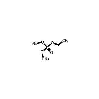 CCCCOP(=O)(OCCCC)OCC(F)(F)F